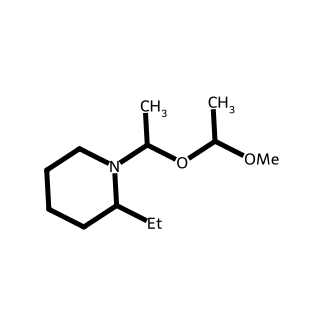 CCC1CCCCN1C(C)OC(C)OC